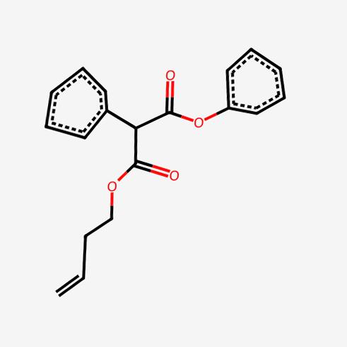 C=CCCOC(=O)C(C(=O)Oc1ccccc1)c1ccccc1